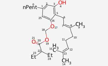 CCCCCc1cc(O)c(C/C=C(\C)CCC=C(C)C)c(OCOC(=O)C(CC)CC)c1